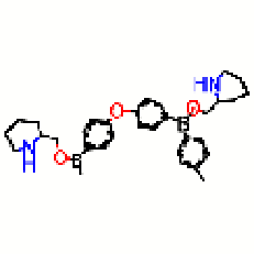 CB(OCC1CCCCN1)c1ccc(Oc2ccc(B(OCC3CCCCN3)c3ccc(C)cc3)cc2)cc1